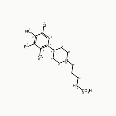 CCc1c(C#N)c(Cl)nc(N2CCN(CCCNC(=O)O)CC2)c1C#N